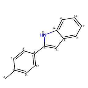 Cc1ccc(-c2cc3ccccc3[nH]2)cc1